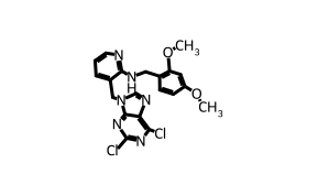 COc1ccc(CNc2ncccc2Cn2cnc3c(Cl)nc(Cl)nc32)c(OC)c1